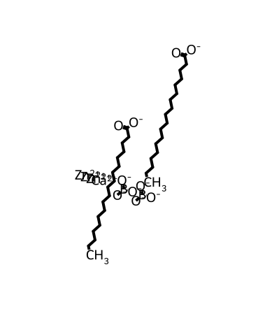 CCCCCCCCCCCCCCCCCC(=O)[O-].CCCCCCCCCCCCCCCCCC(=O)[O-].[Ca+2].[O-]B([O-])[O-].[O-]B([O-])[O-].[Zn+2].[Zn+2].[Zn+2]